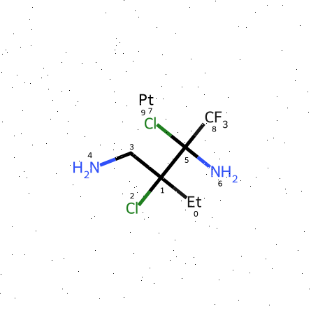 CCC(Cl)(CN)C(N)(Cl)C(F)(F)F.[Pt]